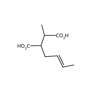 CC=CCC(C(=O)O)C(C)C(=O)O